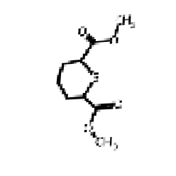 COC(=O)C1CCCC(C(=O)OC)S1